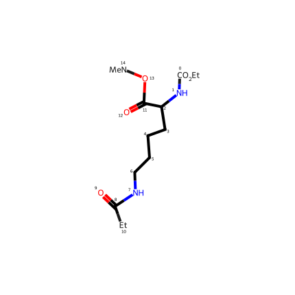 CCOC(=O)NC(CCCCNC(=O)CC)C(=O)ONC